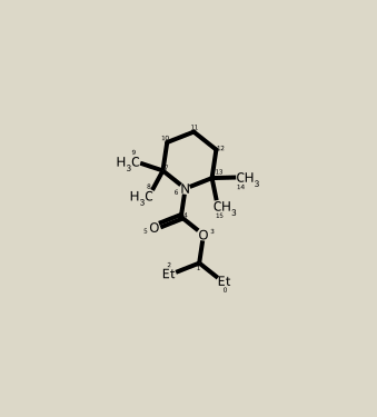 CCC(CC)OC(=O)N1C(C)(C)CCCC1(C)C